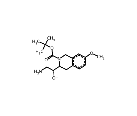 COc1ccc2c(c1)CN(C(=O)OC(C)(C)C)C([C@H](O)CN)C2